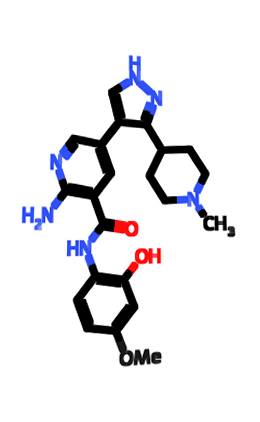 COc1ccc(NC(=O)c2cc(-c3c[nH]nc3C3CCN(C)CC3)cnc2N)c(O)c1